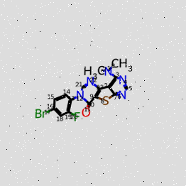 CN(C)c1ncnc2sc3c(=O)n(-c4ccc(Br)cc4F)cnc3c12